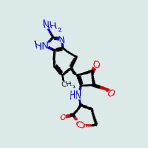 Cc1cc2[nH]c(N)nc2cc1-c1c(NC2CCOC2=O)c(=O)c1=O